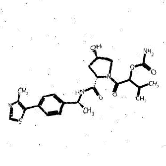 Cc1ncsc1-c1ccc([C@H](C)NC(=O)[C@@H]2C[C@@H](O)CN2C(=O)C(OC(N)=O)C(C)C)cc1